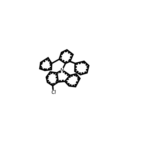 Clc1cccc2c1c1ccccc1n2-c1c(-c2ccccc2)cccc1-c1ccccc1